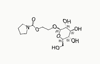 O=C(OCCO[C@@H]1O[C@H](CO)[C@@H](O)[C@H](O)[C@H]1O)N1CCCC1